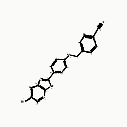 N#Cc1ccc(CNc2ccc(-c3nc4cc(Br)cnc4[nH]3)cc2)cc1